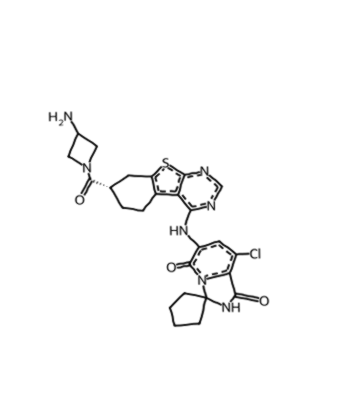 NC1CN(C(=O)[C@H]2CCc3c(sc4ncnc(Nc5cc(Cl)c6n(c5=O)C5(CCCC5)NC6=O)c34)C2)C1